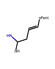 CCCCCC=CCC([NH])CCC